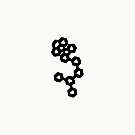 c1ccc(-c2cc(-c3ccccc3)nc(-c3cccc(-c4cccc(-c5cccc6c5-c5ccccc5C65c6cccc7ccc8cccc5c8c67)c4)c3)c2)cc1